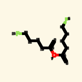 C=C(CCCCF)OC(=C)CCCCF